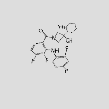 O=C(c1ccc(F)c(F)c1Nc1ccc(F)cc1F)N1CC(O)(C2CCCCN2)C1